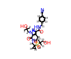 CC(C)(O)Cn1nc(C(=O)NCc2ccc(C#N)cc2)c2c1C(=O)N(CC1(S(=O)(=O)C(C)(C)CO)CC1)CC2